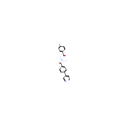 O=C(NNC(=O)c1ccc(-c2ccncc2)cc1)c1ccc(Cl)cc1